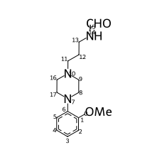 COc1ccccc1N1CCN(CCCNC=O)CC1